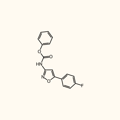 O=C(Nc1cc(-c2ccc(F)cc2)on1)Oc1ccccc1